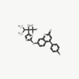 CC(C)C(O)(c1cnc(Sc2ccc3c(-c4ccc(F)cc4)cc(=O)oc3c2)s1)C(F)(F)F